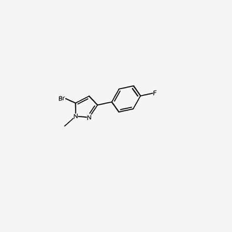 Cn1nc(-c2ccc(F)cc2)cc1Br